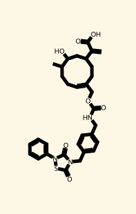 C=C(C(=O)O)C1CC/C(COC(=O)NCc2ccc(Cn3c(=O)sn(-c4ccccc4)c3=O)cc2)=C\CCC(C)C(O)C1